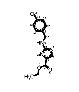 CCOC(=O)c1csc(NCc2ccc(Cl)cc2)n1